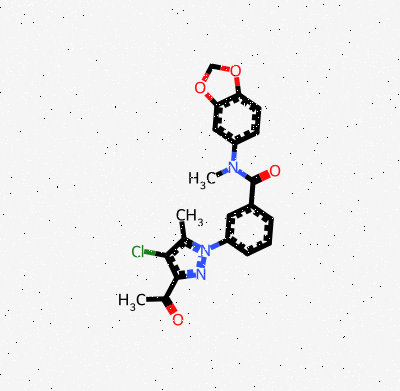 CC(=O)c1nn(-c2cccc(C(=O)N(C)c3ccc4c(c3)OCO4)c2)c(C)c1Cl